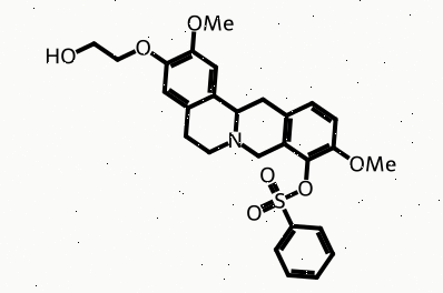 COc1cc2c(cc1OCCO)CCN1Cc3c(ccc(OC)c3OS(=O)(=O)c3ccccc3)CC21